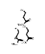 CC(=O)CCC(=O)C(=O)[O-].CC(=O)CCC(=O)C(=O)[O-].CC(=O)CCC(=O)C(=O)[O-].[Fe+3]